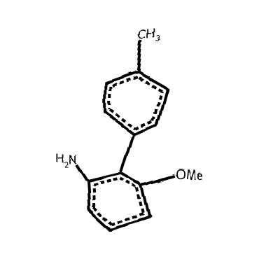 COc1cccc(N)c1-c1ccc(C)cc1